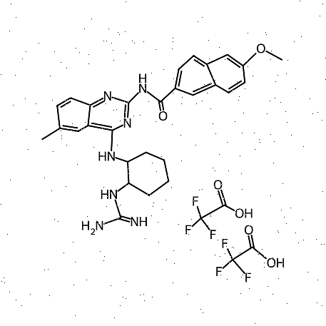 COc1ccc2cc(C(=O)Nc3nc(NC4CCCCC4NC(=N)N)c4cc(C)ccc4n3)ccc2c1.O=C(O)C(F)(F)F.O=C(O)C(F)(F)F